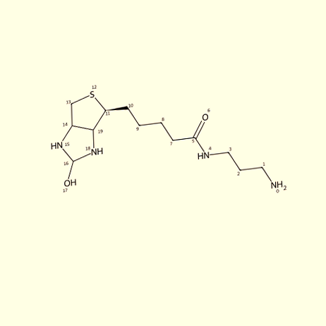 NCCCNC(=O)CCCC[C@@H]1SCC2NC(O)NC21